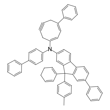 Cc1ccc(C2(C3=CCCC=C3)c3cc(-c4ccccc4)ccc3-c3ccc(N(/C4=C/C=C(/c5ccccc5)CC#CC4)c4ccc(-c5ccccc5)cc4)cc32)cc1